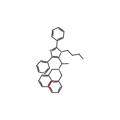 CCCCn1c(-c2ccccc2)nc(-c2ccccc2)c1C(C)N(Cc1ccccc1)Cc1ccccc1